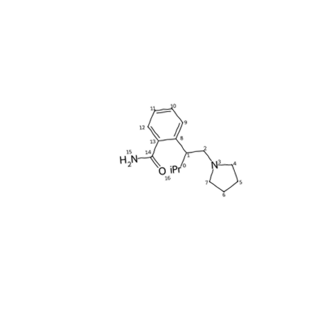 CC(C)C(CN1CCCC1)c1ccccc1C(N)=O